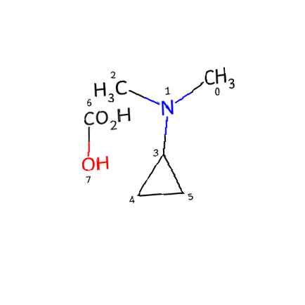 CN(C)C1CC1.O=C(O)O